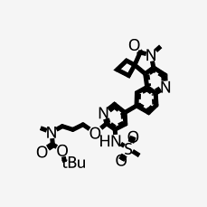 CN(CCCOc1ncc(-c2ccc3ncc4c(c3c2)C2(CCC2)C(=O)N4C)cc1NS(C)(=O)=O)C(=O)OC(C)(C)C